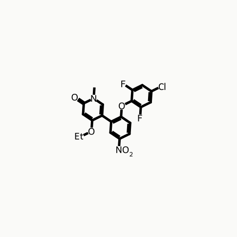 CCOc1cc(=O)n(C)cc1-c1cc([N+](=O)[O-])ccc1Oc1c(F)cc(Cl)cc1F